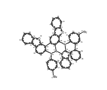 CC(C)(C)c1ccc(N2B3c4c(cc5c(oc6ccccc65)c4N(c4ccc(C(C)(C)C)cc4-c4ccccc4)c4sc5ccccc5c43)-c3c2ccc2c3oc3ccccc32)cc1